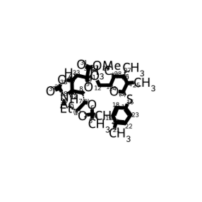 CC[C@H]1OC(C)(C)O[C@H]1C1O[C@@](OCC2O[C@@H](Sc3ccc(C)cc3)C(C)[C@@H](C)[C@H]2C)(C(=O)OC)C[C@H]2OC(=O)N(C(C)=O)[C@@H]12